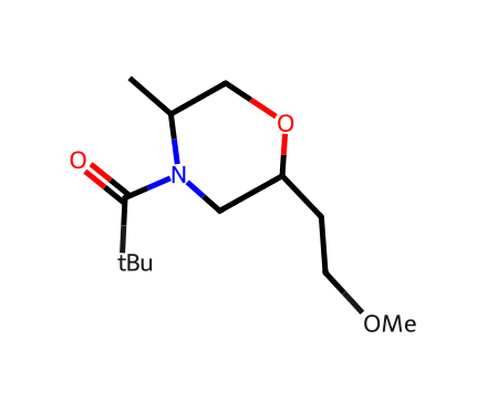 COCCC1CN(C(=O)C(C)(C)C)C(C)CO1